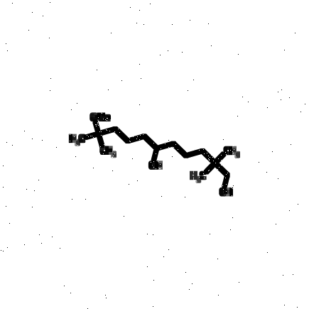 COC(C)(C)CCCC(O)CCCC(C)(C)CO